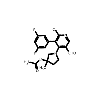 CC1(OC(N)=O)CCN(c2c(C=O)cnc(Cl)c2-c2cc(F)cc(F)c2)C1